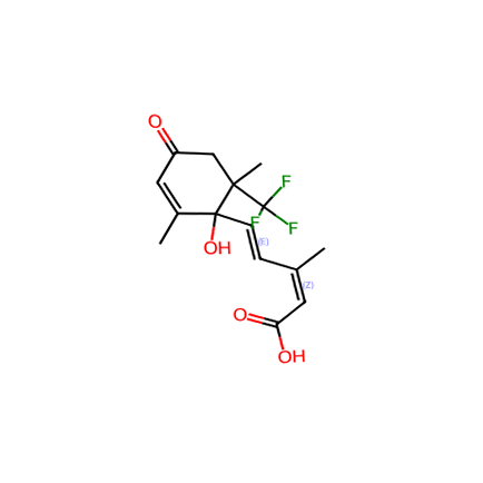 CC1=CC(=O)CC(C)(C(F)(F)F)C1(O)/C=C/C(C)=C\C(=O)O